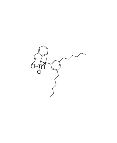 CCCCCCc1cc(CCCCCC)cc([Si](C)(C)[C]2([Ti]([Cl])([Cl])[Cl])C(C)=Cc3ccccc32)c1